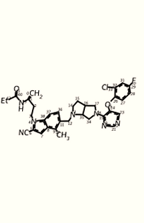 C=C(CCn1c(C#N)cc2c(C)c(CN3CCC4CN(c5ncncc5Oc5ccc(F)cc5Cl)CC43)ccc21)NC(=O)CC